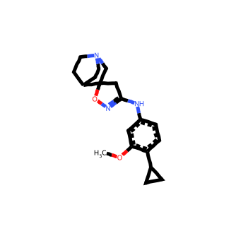 COc1cc(NC2=NOC3(C2)CN2CCC3CC2)ccc1C1CC1